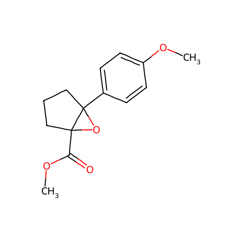 COC(=O)C12CCCC1(c1ccc(OC)cc1)O2